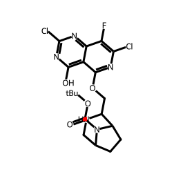 CC(C)(C)OC(=O)N1C2CCC1C(COc1nc(Cl)c(F)c3nc(Cl)nc(O)c13)NC2